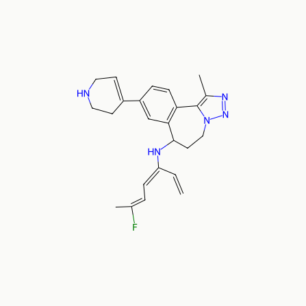 C=C/C(=C\C=C(/C)F)NC1CCn2nnc(C)c2-c2ccc(C3=CCNCC3)cc21